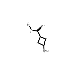 CCOC(=O)C1CC(OC)C1